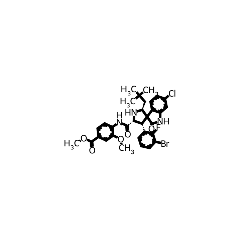 COC(=O)c1ccc(NC(=O)[C@@H]2N[C@@H](CC(C)(C)C)C3(C(=O)Nc4cc(Cl)ccc43)[C@@H]2c2cccc(Br)c2F)c(OC)c1